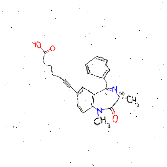 C[C@H]1N=C(c2ccccc2)c2cc(C#CCCCC(=O)O)ccc2N(C)C1=O